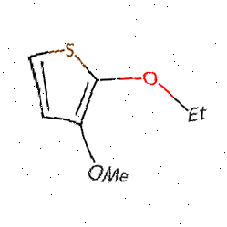 CCOc1sccc1OC